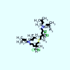 CC(C)=C[SiH2]N(CCCC(C)(CCSCCC(C)(CCCN([SiH2]C=C(C)C)[SiH2]C=C(C)C)[SiH](Cl)Cl)[SiH](Cl)Cl)[SiH2]C=C(C)C